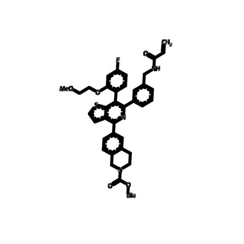 C=CC(=O)NCc1cccc(-c2nc(-c3ccc4c(c3)CCN(C(=O)OC(C)(C)C)C4)c3ccsc3c2-c2ccc(F)cc2OCCOC)c1